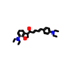 CCN(CC)c1ccc(C=CC=CC(=O)C2COc3c2cccc3N(CC)CC)cc1